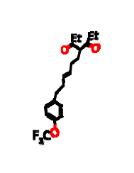 CCC(=O)C(CC/C=C/CCc1ccc(OC(F)(F)F)cc1)C(=O)CC